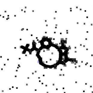 CC(C)(C)OC(=O)N1C/C=C/CCOc2cc3c(nc(O)n3Cc3cccc1c3)c(N)n2